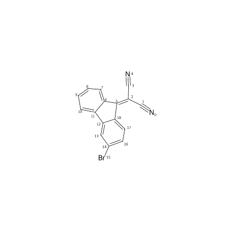 N#CC(C#N)=C1c2ccccc2-c2cc(Br)ccc21